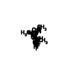 C[C@@H](Nc1ncnc2c1CN(c1cn(C)cn1)C(=O)C21CN(C)C1)c1cccc(C(F)(F)F)c1F